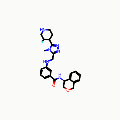 Cn1c(CNc2cccc(C(=O)N[C@@H]3COCc4ccccc43)c2)nnc1C1CCNCC1F